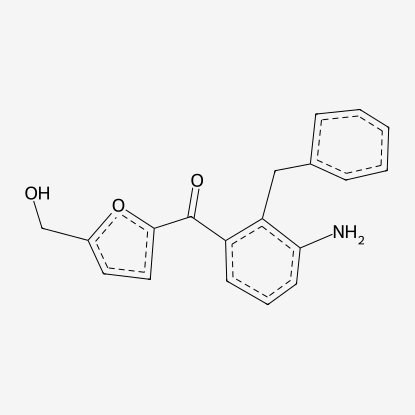 Nc1cccc(C(=O)c2ccc(CO)o2)c1Cc1ccccc1